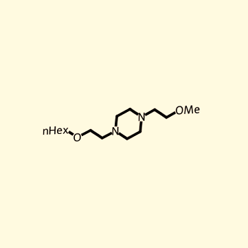 CCCCCCOCCN1CCN(CCOC)CC1